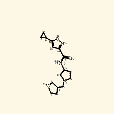 O=C(NC1CCN(CC2CCOC2)C1)c1cc(C2CC2)on1